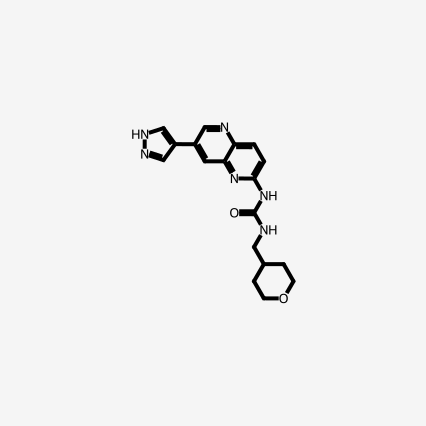 O=C(NCC1CCOCC1)Nc1ccc2ncc(-c3cn[nH]c3)cc2n1